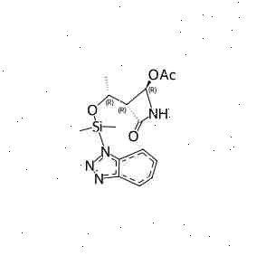 CC(=O)O[C@H]1NC(=O)[C@@H]1[C@@H](C)O[Si](C)(C)n1nnc2ccccc21